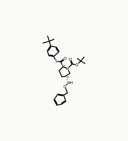 CC(C)(C)OC(=O)N1C[C@H](NOCc2ccccc2)CC[C@H]1C(=O)Sc1ccc(C(C)(C)C)cc1